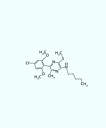 CCCCCNc1nc(C)c(-c2c(OC)cc(Cl)cc2OC)nc1SC